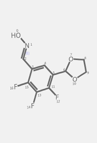 O/N=C/c1cc(C2OCCO2)c(F)c(F)c1F